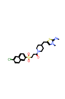 C/N=c1/sc(CC2CCN(C(=O)CCS(=O)(=O)c3ccc4cc(Cl)ccc4c3)CC2)cn1C